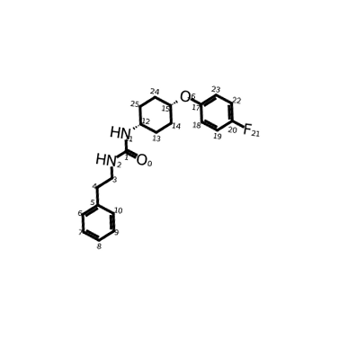 O=C(NCCc1ccccc1)N[C@H]1CC[C@@H](Oc2ccc(F)cc2)CC1